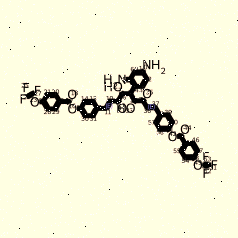 Nc1ccc(C(C(O)C(=O)/C=C/c2ccc(OC(=O)c3ccc(OC(F)(F)F)cc3)cc2)C(O)C(=O)/C=C/c2ccc(OC(=O)c3ccc(OC(F)(F)F)cc3)cc2)c(N)c1